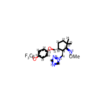 CON=C1[C@@H](Cn2cncn2)[C@H](COc2ccc(OC(F)(F)F)cc2)CCC1(C)C